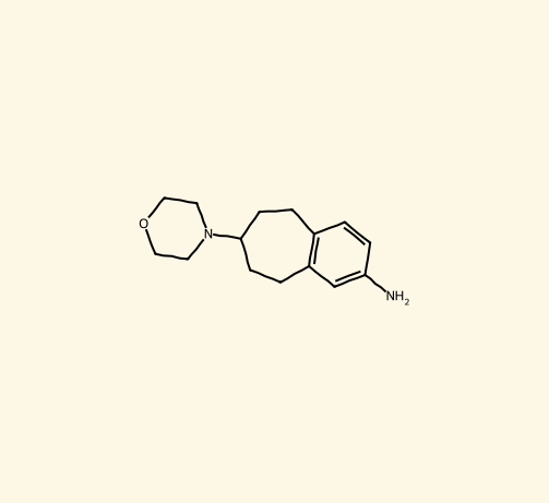 Nc1ccc2c(c1)CCC(N1CCOCC1)CC2